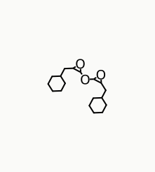 C1CCC(CC2OC2OC2OC2CC2CCCCC2)CC1